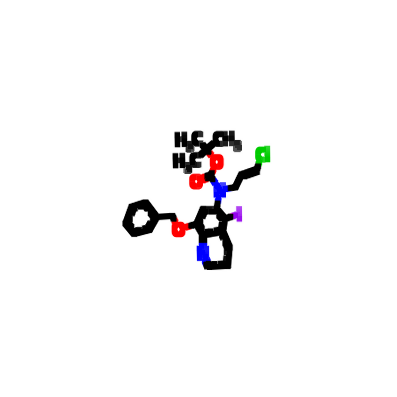 CC(C)(C)OC(=O)N(CC=CCl)c1cc(OCc2ccccc2)c2ncccc2c1I